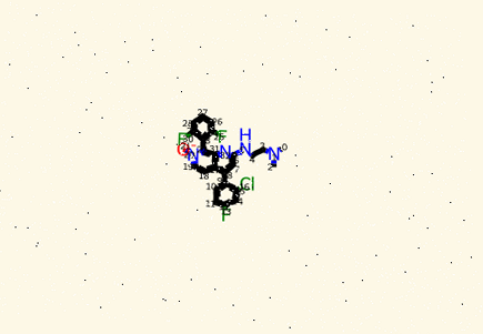 CN(C)CCNc1cc(-c2ccc(F)cc2Cl)c2cc[n+]([O-])c(-c3c(F)cccc3F)c2n1